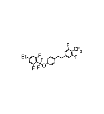 CCc1cc(F)c(C(F)(F)Oc2ccc(CCc3cc(F)c(C(F)(F)F)c(F)c3)cc2)c(F)c1